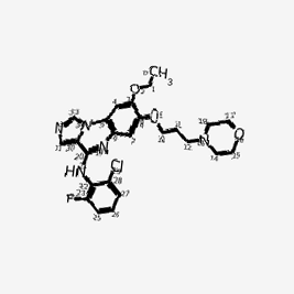 CCOc1cc2c(cc1OCCCN1CCOCC1)nc(Nc1c(F)cccc1Cl)c1cncn12